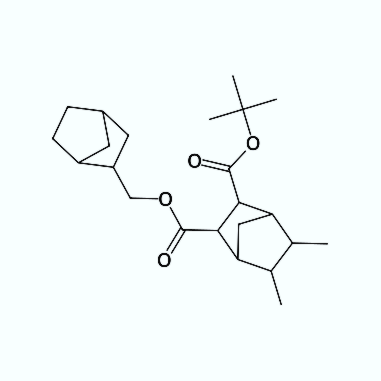 CC1C(C)C2CC1C(C(=O)OCC1CC3CCC1C3)C2C(=O)OC(C)(C)C